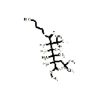 BC(C)(C)C(C)(C(=O)OCCCC)C(C)(C)C(B)(C)C(C)(CC(C)(C)C)C(=O)OC